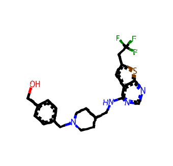 OCc1ccc(CN2CCC(CNc3ncnc4sc(CC(F)(F)F)cc34)CC2)cc1